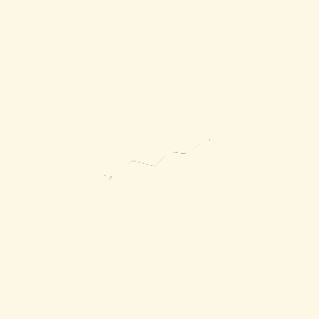 N#CCCOCC#N